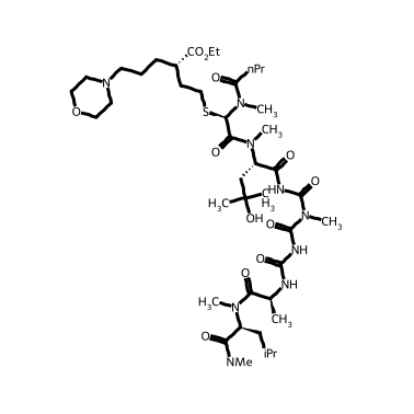 CCCC(=O)N(C)[C@H](SCC[C@H](CCCN1CCOCC1)C(=O)OCC)C(=O)N(C)[C@@H](CC(C)(C)O)C(=O)NC(=O)N(C)C(=O)NC(=O)N[C@@H](C)C(=O)N(C)[C@@H](CC(C)C)C(=O)NC